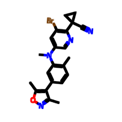 Cc1ccc(-c2c(C)noc2C)cc1N(C)c1cnc(C2(C#N)CC2)c(Br)c1